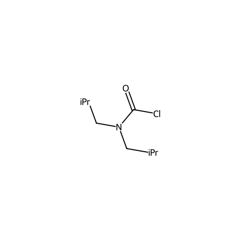 CC(C)CN(CC(C)C)C(=O)Cl